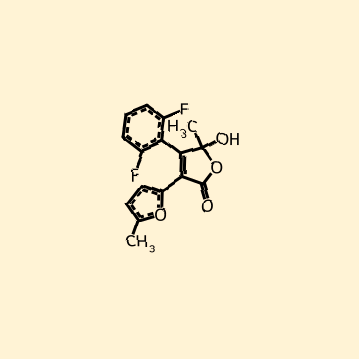 Cc1ccc(C2=C(c3c(F)cccc3F)C(C)(O)OC2=O)o1